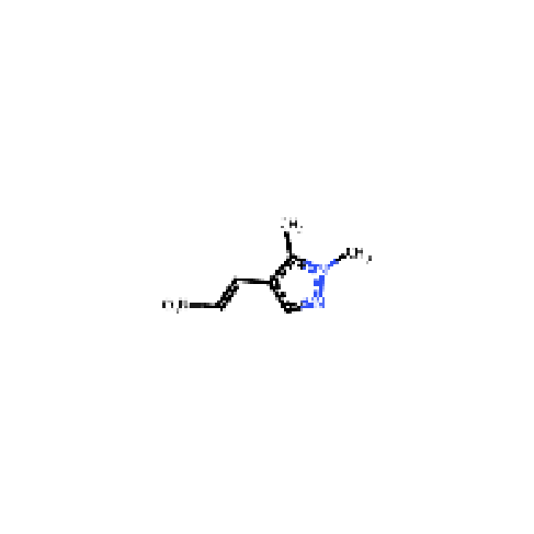 Cc1c(C=C[N+](=O)[O-])cnn1C